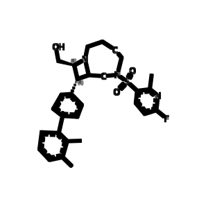 Cc1cccc(-c2ccc([C@H]3C4CN(S(=O)(=O)c5ccc(F)nc5C)CCCCN4[C@@H]3CO)cc2)c1C